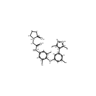 Cc1cc(Oc2c(C)cc(NC(=O)CN3CCCC3=O)cc2C)cc(-c2c(C)noc2C)c1